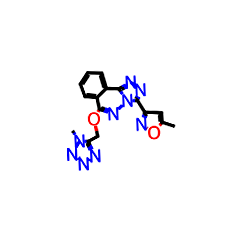 Cc1cc(-c2nnc3c4ccccc4c(OCc4nnnn4C)nn23)no1